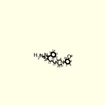 COc1cccc(N2CCN(CCCc3sc(N)nc3-c3ccccc3)CC2)c1